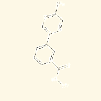 CCCNC(=O)c1cccc(-c2ccc(N)nc2)c1